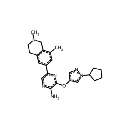 Cc1cc(-c2cnc(N)c(Oc3cnn(C4CCCC4)c3)n2)cc2c1CN(C)CC2